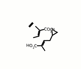 C=C.CC(=CCC1CO1)C(=O)O.CC=C(C)C(=O)O